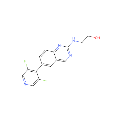 OCCNc1ncc2cc(-c3c(F)cncc3F)ccc2n1